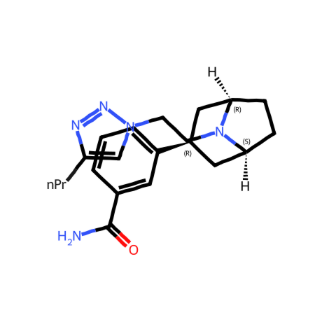 CCCc1cn(CCN2[C@@H]3CC[C@H]2C[C@@H](c2cccc(C(N)=O)c2)C3)nn1